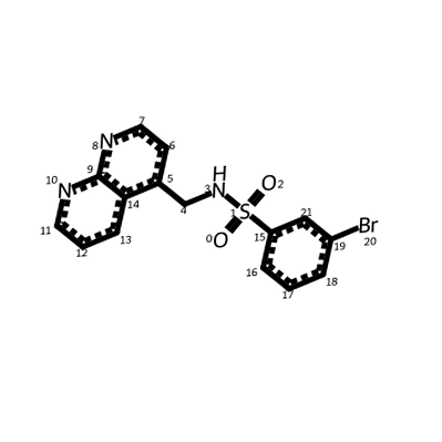 O=S(=O)(NCc1ccnc2ncccc12)c1cccc(Br)c1